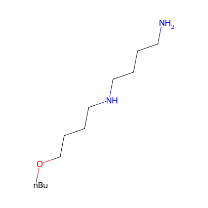 CCCCOCCCCNCCCCN